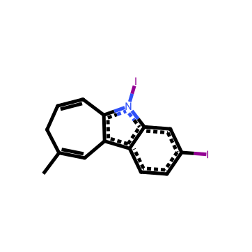 CC1=Cc2c(n(I)c3cc(I)ccc23)C=CC1